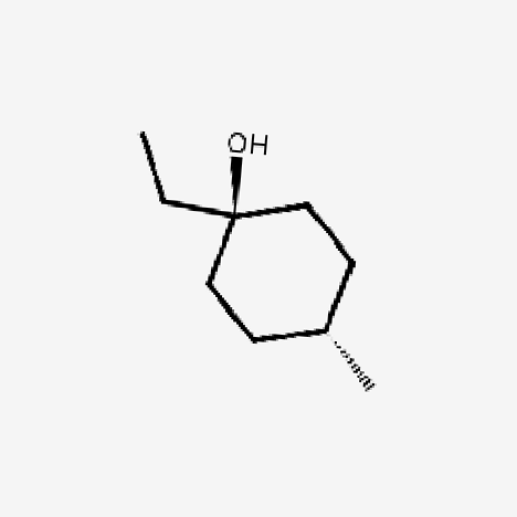 CC[C@]1(O)CC[C@H](C)CC1